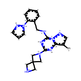 CC(C)c1cnn2c(NCc3ccccc3-n3cccn3)nc(N3CC4(CNC4)C3)nc12